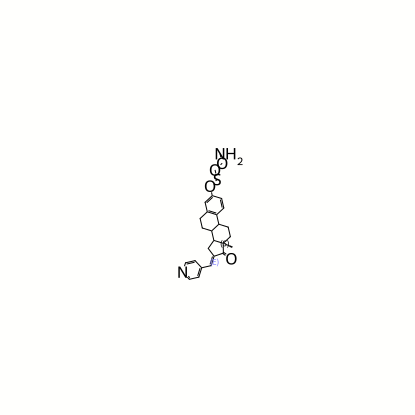 C[C@]12CCC3c4ccc(OSOON)cc4CCC3C1C/C(=C\c1ccncc1)C2=O